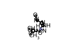 COc1ccc(CNC(=O)/C(C#N)=C/c2c[nH]c3ncc(-c4cnn(C5COC5)c4)cc23)cc1OC